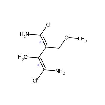 COCC(=C(/N)Cl)/C(C)=C(\N)Cl